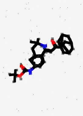 CC1(C)Cc2cc(NC(=O)OC(C)(C)C)ccc2C(=CC(=O)C23CC4CC(CC(C4)C2)C3)N1